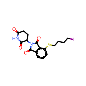 O=C1CCC(N2C(=O)c3cccc(SCCCCI)c3C2=O)C(=O)N1